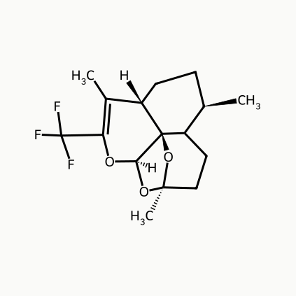 CC1=C(C(F)(F)F)O[C@@H]2O[C@]3(C)CCC4[C@H](C)CC[C@@H]1[C@]42O3